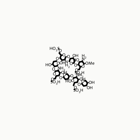 CO[C@H]1OC(COS(=O)(=O)O)[C@@H](O[C@H]2C[C@H](O)[C@@H](O[C@@H]3OC(COS(=O)(=O)O)[C@@H](O[C@H]4C[C@H](O)[C@@H](O[C@@H]5OC(COS(=O)(=O)O)[C@@H](O[C@H]6C[C@H](O)[C@H](O[C@@H]7OC(COS(=O)(=O)O)[C@@H](O[C@H]8C[C@H](O)[C@H](O)CO8)[C@H](O)C7N)CO6)[C@H](O)C5N)CO4)[C@H](O)C3N)CO2)[C@H](O)C1N